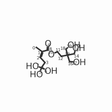 CC(=CCC(O)(O)O)C(=O)OCCC(CO)(CO)CO